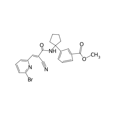 COC(=O)c1cccc(C2(NC(=O)/C(C#N)=C/c3cccc(Br)n3)CCCC2)c1